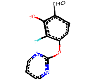 O=Cc1ccc(Oc2ncccn2)c(F)c1O